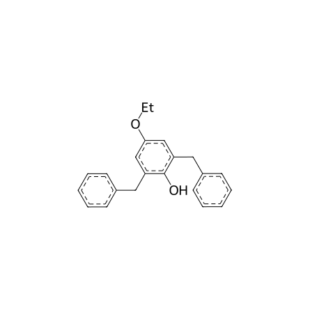 CCOc1cc(Cc2ccccc2)c(O)c(Cc2ccccc2)c1